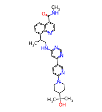 CNC(=O)c1ccnc2c([C@H](C)CNc3cc(-c4ccc(N5CCC(C(C)(C)O)CC5)nc4)ncn3)cccc12